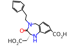 O=C(O)C[C@H]1Nc2cc(C(=O)O)ccc2CN(CCc2ccccc2)C1=O